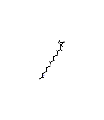 C/C=C/CCCCCCCCCC1CO1